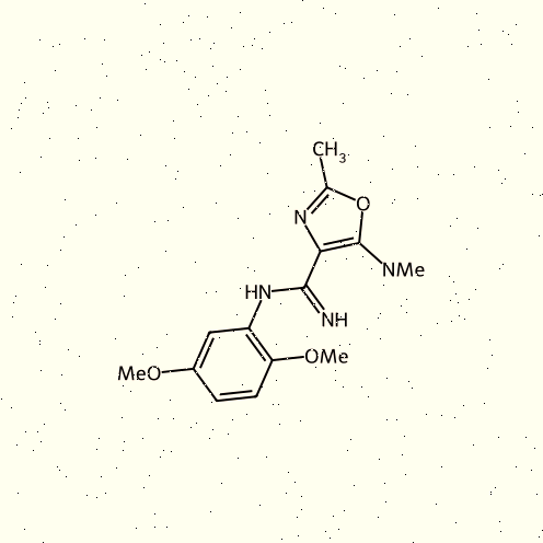 CNc1oc(C)nc1C(=N)Nc1cc(OC)ccc1OC